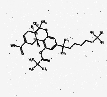 [2H]C([2H])([2H])CCCCCC(C)(C)c1cc(OC(=O)C(C)(C)C)c2c(c1)OC(C)(C)[C@@H]1CC=C(C(=O)O)C[C@@H]21